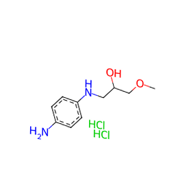 COCC(O)CNc1ccc(N)cc1.Cl.Cl